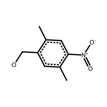 Cc1cc([N+](=O)[O-])c(C)cc1C[O]